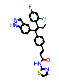 CCC(=C(c1ccc(C=CC(=O)Nc2nccs2)cc1)c1ccc2[nH]ncc2c1)c1ccc(F)cc1Cl